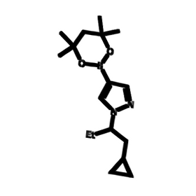 CCC(CC1CC1)n1cc(B2OC(C)(C)CC(C)(C)O2)cn1